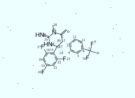 C=C1[C@H](c2ccc(C(C)(F)F)cc2)[C@@](C)(c2c(F)cc(F)cc2F)NC(=N)N1C